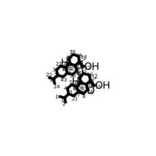 CC(C)C1CC[C@H]2C(=CCC3[C@](C)(C(=O)O)CCC[C@@]32C)C1.CC(C)C1CC[C@H]2C(CCC3[C@](C)(C(=O)O)CCC[C@@]32C)C1